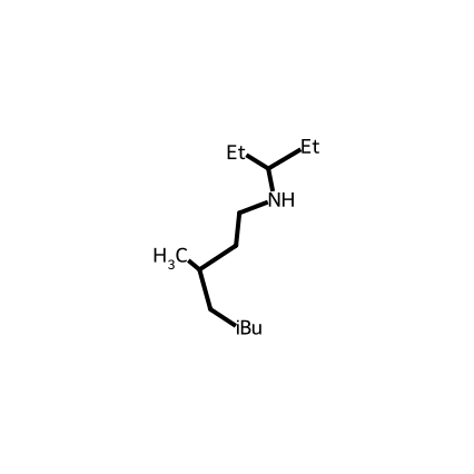 CCC(C)CC(C)CCNC(CC)CC